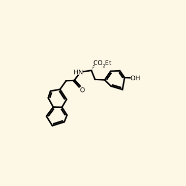 CCOC(=O)[C@H](Cc1ccc(O)cc1)NC(=O)Cc1ccc2ccccc2c1